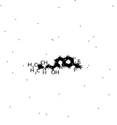 CC(C)(C)NC[C@H](O)c1ccc2ccc(C(F)(F)F)cc2n1